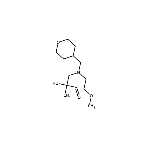 COCCN(CC1CCOCC1)CC(C)(O)C=O